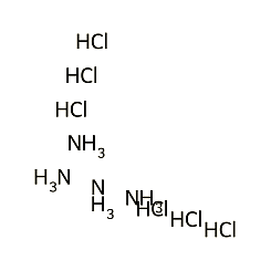 Cl.Cl.Cl.Cl.Cl.Cl.N.N.N.N